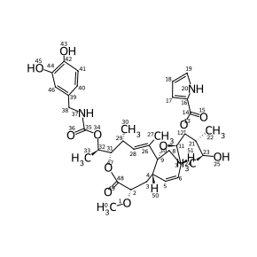 CO[C@H]1C[C@H]2C=C[C@@H]3C[C@]2(O[C@H]3[C@H](OC(=O)c2ccc[nH]2)[C@H](C)[C@H](C)O)/C(C)=C/[C@@H](C)[C@@H]([C@@H](C)OC(=O)NCc2ccc(O)c(O)c2)OC1=O